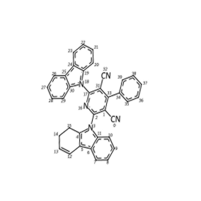 N#Cc1c(-n2c3c(c4ccccc42)C=CCC3)nc(-n2c3ccccc3c3ccccc32)c(C#N)c1-c1ccccc1